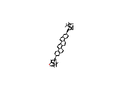 CC(C)[Si](C#Cc1ccc2c(ccc3c2ccc2c4ccc5cc(C#C[Si](C(C)C)(C(C)C)C(C)C)ccc5c4ccc32)c1)(C(C)C)C(C)C